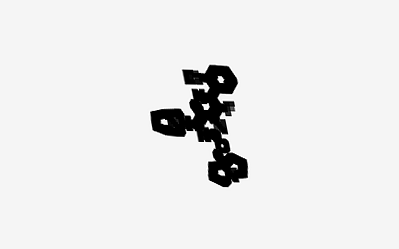 CCc1ccccc1-c1ncc2c(N3CC4CCC(C3)N4)nc(OCC34CCCN3CCC4)nc2c1F